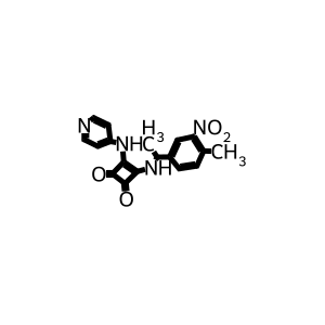 Cc1ccc(C(C)Nc2c(Nc3ccncc3)c(=O)c2=O)cc1[N+](=O)[O-]